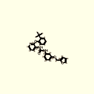 CC(C)(C)c1ccccc1Oc1ncccc1NC(=O)Nc1cccc(OCc2ccco2)c1